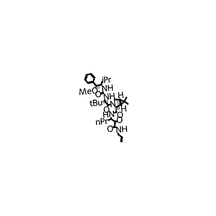 C=CCNC(=O)C(=O)C(CCC)NC(=O)[C@@H]1[C@@H]2[C@H](CN1C(=O)[C@@H](NC(=O)NC(C(C)C)[C@H](OC)c1ccccc1)C(C)(C)C)C2(C)C